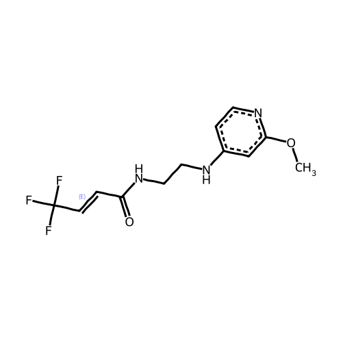 COc1cc(NCCNC(=O)/C=C/C(F)(F)F)ccn1